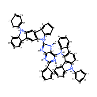 Cn1c(-n2c3ccccc3c3cc4c(cc32)c2ccccc2n4C2=CC=CCC2)nc2nc(-c3ccccc3)nc(-n3c4ccccc4c4ccc5c(c6ccccc6n5-c5ccccc5)c43)c21